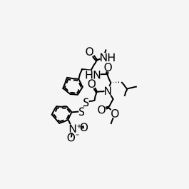 CNC(=O)[C@H](Cc1ccccc1)NC(=O)[C@H](CC(C)C)N(CC(=O)OC)C(=O)CSSc1ccccc1[N+](=O)[O-]